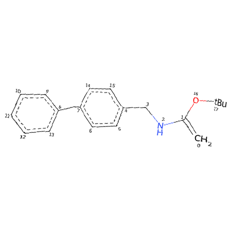 C=C(NCc1ccc(-c2ccccc2)cc1)OC(C)(C)C